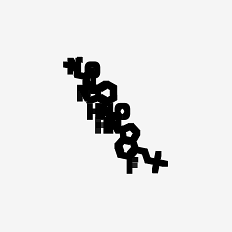 CN(C)CC(=O)n1ncc2c(NC(=O)NC3CCc4c3ccc(F)c4CCC(C)(C)C)cccc21